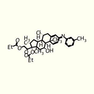 CCC(=O)OCC(=O)[C@@]1(OC(=O)CC)[C@H](C)C[C@H]2[C@H]3[C@H]([C@@H](O)C[C@@]21C)[C@@]1(C)C=C/C(=N\c2cccc(C)c2)C=C1C[C@H]3Cl